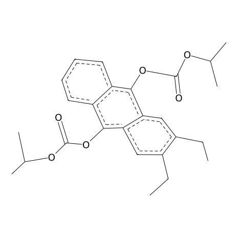 CCc1cc2c(OC(=O)OC(C)C)c3ccccc3c(OC(=O)OC(C)C)c2cc1CC